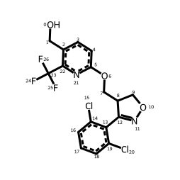 OCc1ccc(OCC2CON=C2c2c(Cl)cccc2Cl)nc1C(F)(F)F